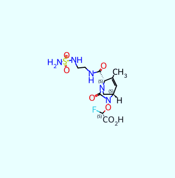 CC1=C[C@H]2CN(C(=O)N2O[C@@H](F)C(=O)O)[C@@H]1C(=O)NCCNS(N)(=O)=O